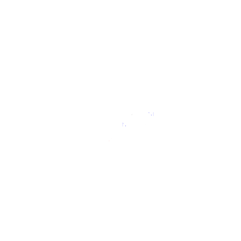 O=C(c1ccccc1)N1CC2CC1CN2